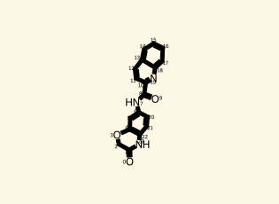 O=C1COc2cc(NC(=O)c3ccc4ccccc4n3)ccc2N1